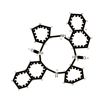 O=[PH]1c2cc3ccccc3cc2Nc2ccccc2[PH](=O)c2ccc3ccccc3c2Nc2ccccc21